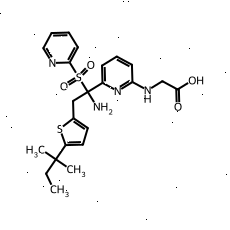 CCC(C)(C)c1ccc(CC(N)(c2cccc(NCC(=O)O)n2)S(=O)(=O)c2ccccn2)s1